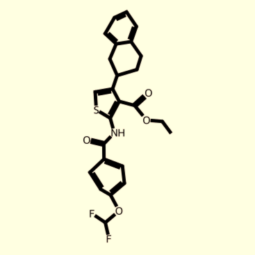 CCOC(=O)c1c(C2CCc3ccccc3C2)csc1NC(=O)c1ccc(OC(F)F)cc1